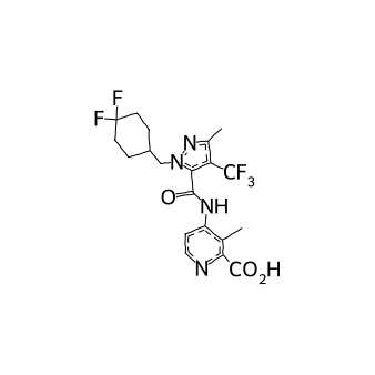 Cc1nn(CC2CCC(F)(F)CC2)c(C(=O)Nc2ccnc(C(=O)O)c2C)c1C(F)(F)F